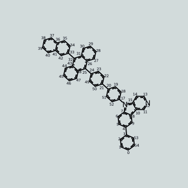 c1ccc(-c2ccc3c(c2)c2cnccc2n3-c2ccc(-c3ccc(-c4c5ccccc5c(-c5ccc6ccccc6c5)c5ccccc45)cc3)cc2)cc1